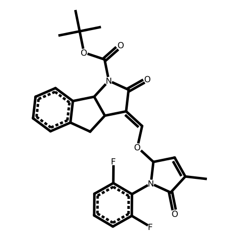 CC1=CC(O/C=C2/C(=O)N(C(=O)OC(C)(C)C)C3c4ccccc4CC23)N(c2c(F)cccc2F)C1=O